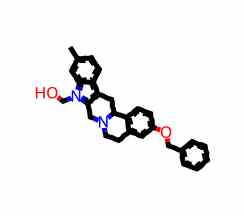 Cc1ccc2c3c(n(CO)c2c1)CN1CCc2cc(OCc4ccccc4)ccc2C1C3